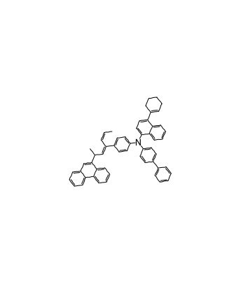 C/C=C\C(=C/C(C)c1cc2ccccc2c2ccccc12)c1ccc(N(c2ccc(-c3ccccc3)cc2)c2ccc(C3=CCCCC3)c3ccccc23)cc1